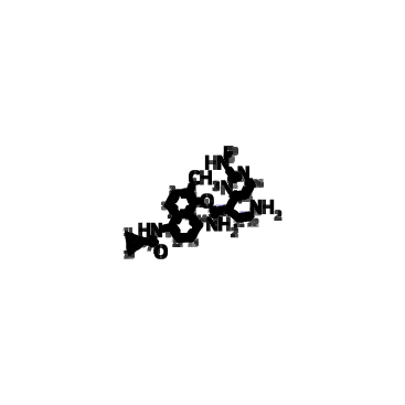 Cc1ccc2c(NC(=O)C3CC3)cccc2c1O/C(N)=C(/C=C\N)c1ccnc(NF)n1